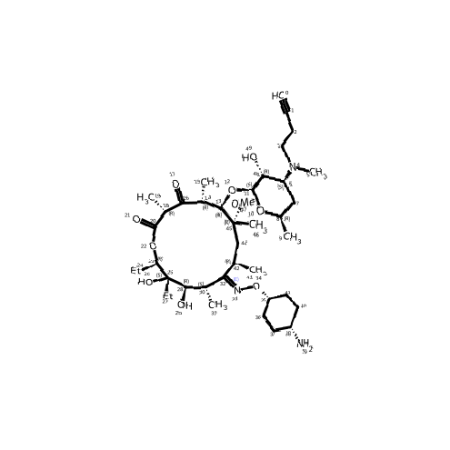 C#CCCN(C)[C@H]1C[C@@H](C)O[C@@H](O[C@@H]2[C@@H](C)C(=O)[C@@H](C)C(=O)O[C@H](CC)[C@](O)(CC)[C@H](O)[C@@H](C)/C(=N/O[C@H]3CC[C@@H](N)CC3)[C@H](C)C[C@@]2(C)OC)[C@@H]1O